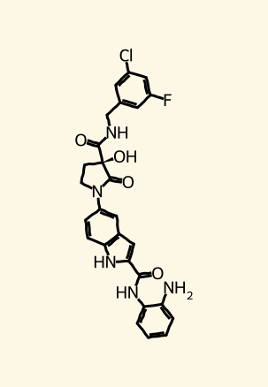 Nc1ccccc1NC(=O)c1cc2cc(N3CC[C@](O)(C(=O)NCc4cc(F)cc(Cl)c4)C3=O)ccc2[nH]1